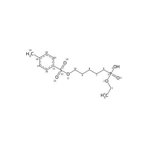 CCOP(=O)(O)CCCCCOS(=O)(=O)c1ccc(C)cc1